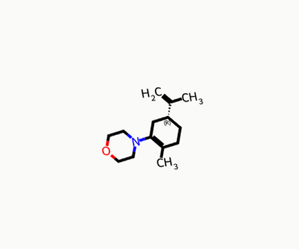 C=C(C)[C@@H]1CCC(C)=C(N2CCOCC2)C1